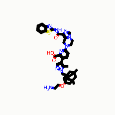 Cc1c(-c2ccc(N3CCn4cnc(C(=O)Nc5nc6ccccc6s5)c4C3)nc2C(=O)O)cnn1CC12CC3(C)CC(C)(C1)CC(OCCN)(C3)C2